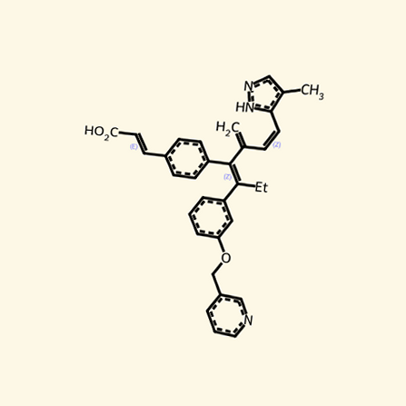 C=C(/C=C\c1[nH]ncc1C)/C(=C(\CC)c1cccc(OCc2cccnc2)c1)c1ccc(/C=C/C(=O)O)cc1